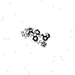 Cc1nnnn1-c1cc(CO[C@H]2CCCN(Cc3nn[nH]c3C(C)(C)N)[C@H]2c2ccccc2)c2occc2c1